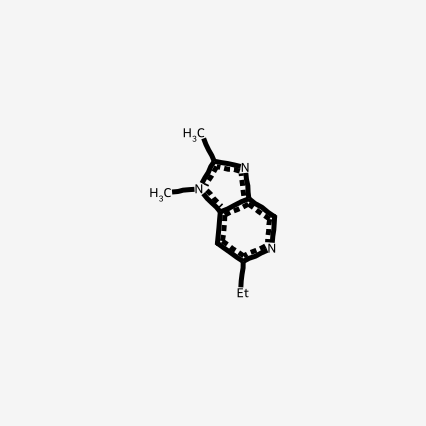 CCc1cc2c(cn1)nc(C)n2C